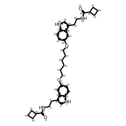 O=C(NCCc1c[nH]c2ccc(OCCCCCCOc3ccc4[nH]cc(CCNC(=O)C5CCC5)c4c3)cc12)C1CCC1